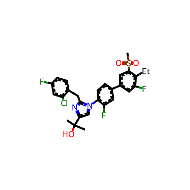 CCc1c(F)cc(-c2ccc(-n3cc(C(C)(C)O)nc3Cc3ccc(F)cc3Cl)c(F)c2)cc1S(C)(=O)=O